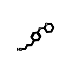 OCC=Cc1ccc(OC2CCCCO2)cc1